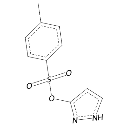 Cc1ccc(S(=O)(=O)Oc2cc[nH]n2)cc1